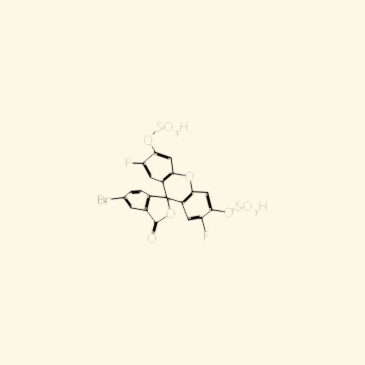 O=C1OC2(c3cc(F)c(OS(=O)(=O)O)cc3Oc3cc(OS(=O)(=O)O)c(F)cc32)c2ccc(Br)cc21